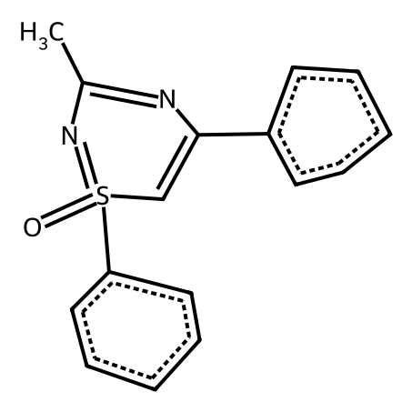 CC1=NC(c2ccccc2)=CS(=O)(c2ccccc2)=N1